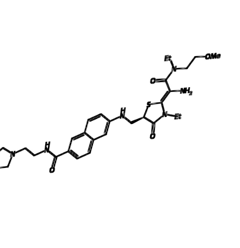 CCN(CCOC)C(=O)/C(N)=C1\S[C@H](CNc2ccc3cc(C(=O)NCCN4CCCC4)ccc3c2)C(=O)N1CC